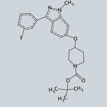 Cn1nc(-c2cccc(F)c2)c2ccc(OC3CCN(C(=O)OC(C)(C)C)CC3)cc21